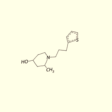 CC1CC(O)CCN1CCCc1cccs1